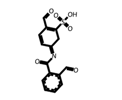 O=CC1=C(S(=O)(=O)O)CC(=NC(=O)c2ccccc2C=O)C=C1